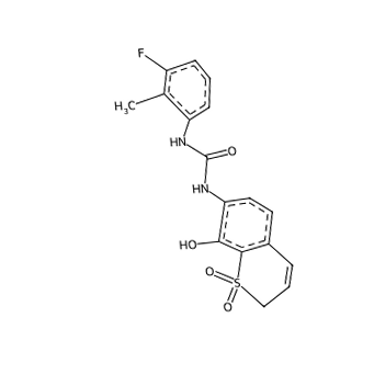 Cc1c(F)cccc1NC(=O)Nc1ccc2c(c1O)S(=O)(=O)CC=C2